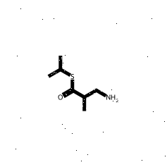 CC(C)SC(=O)C(C)CN